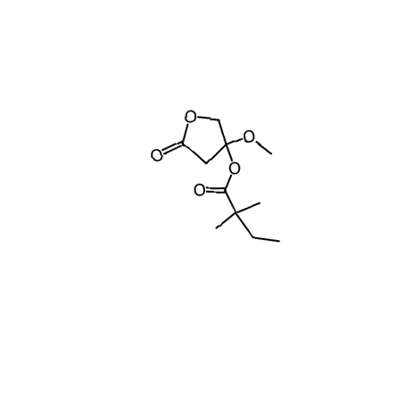 CCC(C)(C)C(=O)OC1(OC)COC(=O)C1